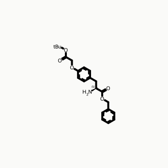 CC(C)(C)OC(=O)COc1ccc(C[C@H](N)C(=O)OCc2ccccc2)cc1